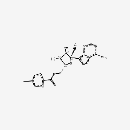 Cc1ccc(C(=O)OC[C@H]2O[C@@](C#N)(c3ccc4c(N)ncnn34)[C@H](O)[C@@H]2O)cc1